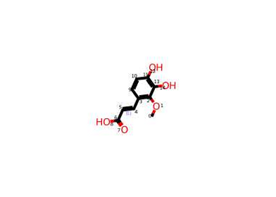 COc1c(/C=C/C(=O)O)ccc(O)c1O